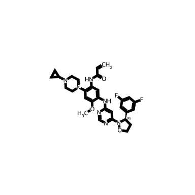 C=CC(=O)Nc1cc(Nc2cc(N3OCC[C@@H]3c3cc(F)cc(F)c3)ncn2)c(OC)cc1N1CCN(C2CC2)CC1